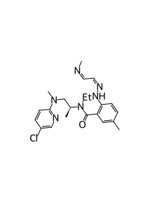 CCN(C(=O)c1cc(C)ccc1N/N=C\C=N/C)[C@@H](C)CN(C)c1ccc(Cl)cn1